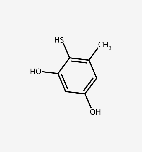 Cc1cc(O)cc(O)c1S